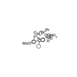 COc1ccc2c(c1)C1CC1(C(=O)N1CC3CC1CN3CC(C)C)Cn1c-2c(C2CCCCC2)c2ccc(C(=O)NS(N)(=O)=O)cc21